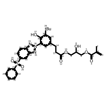 C=C(C)C(=O)OCC(O)COC(=O)CCc1cc(-n2nc3ccc(S(=O)(=O)c4ccccc4)cc3n2)c(O)c(C(C)(C)C)c1